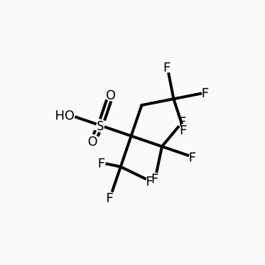 O=S(=O)(O)C(CC(F)(F)F)(C(F)(F)F)C(F)(F)F